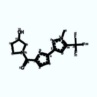 Cn1nc(-c2ccc(C(=O)N3CCC(O)C3)s2)cc1C(F)(F)F